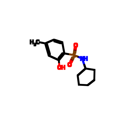 Cc1ccc(S(=O)(=O)NC2CCCCC2)c(O)c1